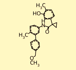 COCc1ccc(-c2cc(NC(=O)C3(c4ccc(C)c(O)c4)CC3)ccc2C)cc1